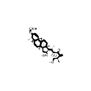 C=C(C(=O)[C@H](OC(C)=O)[C@@H](C)[C@H]1[C@@H](OC(C)=O)C[C@@]2(C)[C@@H]3CC[C@H]4[C@H](C)/C(=N/OC)C=C[C@@]45C[C@@]35CC[C@]12C)[C@@H](C)CO